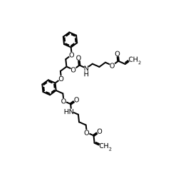 C=CC(=O)OCCCNC(=O)OCc1ccccc1OCC(COc1ccccc1)OC(=O)NCCCOC(=O)C=C